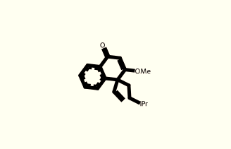 C=CC1(CCC(C)C)C(OC)=CC(=O)c2ccccc21